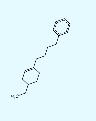 CCC1CC=C(CCCCc2ccccc2)CC1